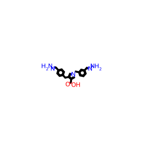 NN=Cc1ccc(Cc2cn(Cc3cccc(C=NN)c3)cc2C(=O)O)cc1